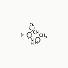 Cc1ccnc(Nc2cc(C3(C#N)CCOCC3)cc(C3CC3)n2)c1